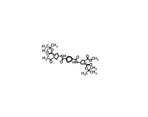 COC(=O)[C@@H]1C[C@H](NC(=O)c2ccc(C(=O)N[C@H]3C[C@@H](C(C)=O)N(C(=O)OC(C)(C)C)C3)cc2)CN1C(=O)OC(C)(C)C